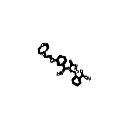 N=C(c1cccc(OCCN2CCOCC2)c1)N(CCc1ccccc1C(=O)O)C(N)=S